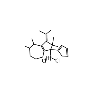 CC(C)=C1C2=C(CCCC(C)C2C)[C](C2=CC=CC2)([Hf]([Cl])[Cl])C1(C)C